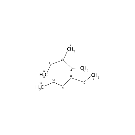 CCC(C)CC.CCCCCC